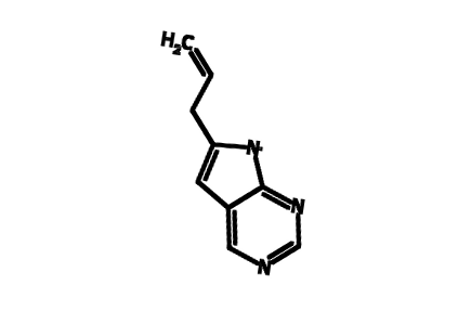 C=CCC1=Cc2cncnc2[N]1